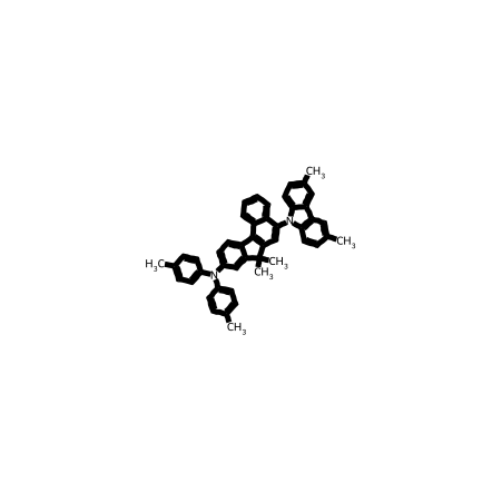 Cc1ccc(N(c2ccc(C)cc2)c2ccc3c(c2)C(C)(C)c2cc(-n4c5ccc(C)cc5c5cc(C)ccc54)c4ccccc4c2-3)cc1